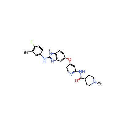 CCN1CCC(C(=O)Nc2cc(Oc3ccc4c(c3)nc(Nc3ccc(F)c(C(C)C)c3)n4C)ccn2)CC1